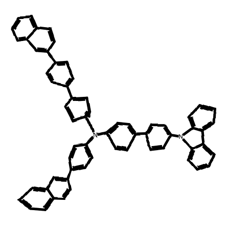 c1ccc2cc(-c3ccc(-c4ccc(N(c5ccc(-c6ccc(-n7c8ccccc8c8ccccc87)cc6)cc5)c5ccc(-c6ccc7ccccc7c6)cc5)cc4)cc3)ccc2c1